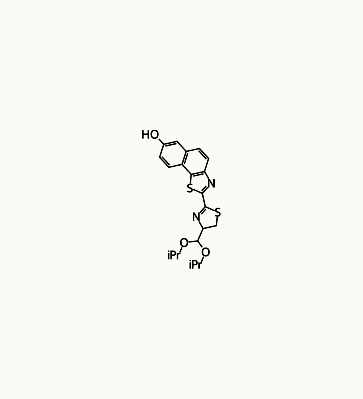 CC(C)OC(OC(C)C)C1CSC(c2nc3ccc4cc(O)ccc4c3s2)=N1